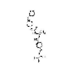 C[C@H](CNc1ncc(OCC(O)C(F)F)cn1)NC(=O)OC1CCN(Cc2ccccc2)CC1